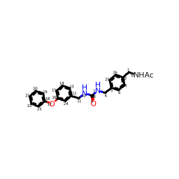 CC(=O)NCc1ccc(CNC(=O)NCc2cccc(Oc3ccccc3)c2)cc1